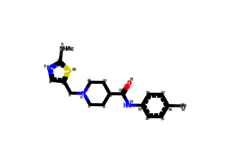 CC(=O)Nc1ncc(CN2CCC(C(=O)Nc3ccc(C(C)C)cc3)CC2)s1